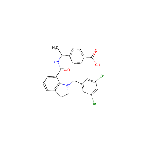 CC(NC(=O)c1cccc2c1N(Cc1cc(Br)cc(Br)c1)CC2)c1ccc(C(=O)O)cc1